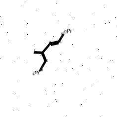 [CH2]C(C)CC(C)/C=C/CCC